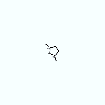 C[C@@H]1[CH][C@H](C)CC1